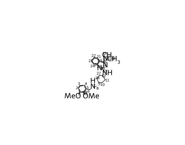 COc1cccc(CNC[C@H]2CC[C@@H](Nc3nc(N(C)C)c4ccccc4n3)CC2)c1OC